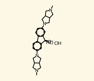 CN1CC2CN(c3ccc4c(c3)C(=O)c3cc(N5CC6CN(C)CC6C5)ccc3-4)CC2C1.Cl.Cl